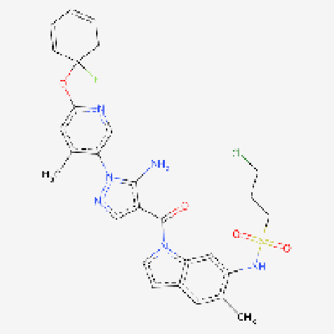 Cc1cc2ccn(C(=O)c3cnn(-c4cnc(OC5(F)C=CC=CC5)cc4C)c3N)c2cc1NS(=O)(=O)CCCCl